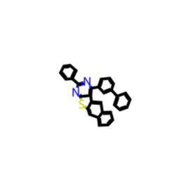 c1ccc(-c2cccc(-c3nc(-c4ccccc4)nc4sc5cc6ccccc6cc5c34)c2)cc1